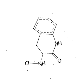 O=C1Nc2ccccc2CC1NCl